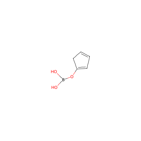 OB(O)OC1=CC=CC1